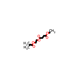 C=COC(=O)CCC(=O)OCCOC(=O)C(=C)C